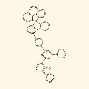 c1ccc(-c2nc(-c3ccc(-c4cccc5c4-c4ccccc4C54c5cccc6ccc7cccc4c7c56)cc3)nc(-c3cccc4c3oc3ccccc34)n2)cc1